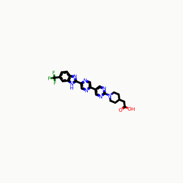 O=C(O)CC1CCN(c2ncc(-c3cnc(-c4nc5ccc(C(F)(F)F)cc5[nH]4)cn3)cn2)CC1